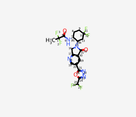 CC(F)(F)C(=O)N[C@@H]1CCC(F)(F)C[C@H]1N1Cc2ncc(-c3nnc(C(F)F)o3)cc2C1=O